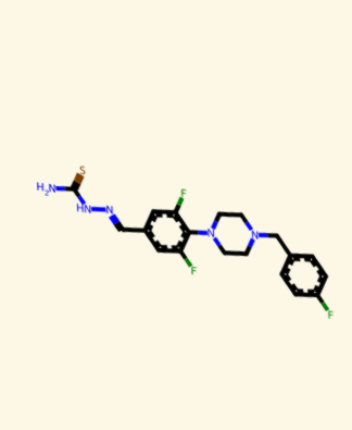 NC(=S)NN=Cc1cc(F)c(N2CCN(Cc3ccc(F)cc3)CC2)c(F)c1